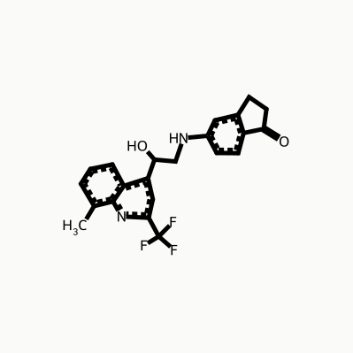 Cc1cccc2c(C(O)CNc3ccc4c(c3)CCC4=O)cc(C(F)(F)F)nc12